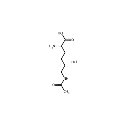 CC(=O)NCCCCC(N)C(=O)O.Cl